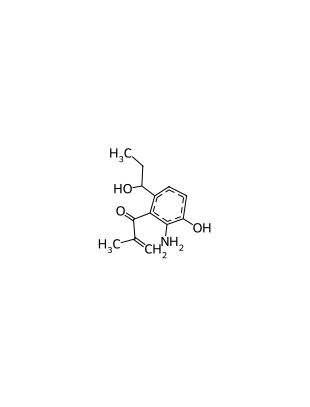 C=C(C)C(=O)c1c(C(O)CC)ccc(O)c1N